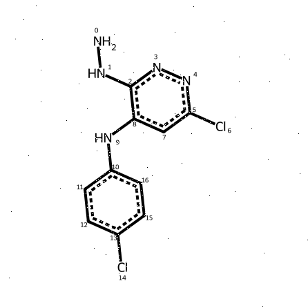 NNc1nnc(Cl)cc1Nc1ccc(Cl)cc1